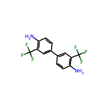 Nc1ccc(-c2ccc(N)c(C(F)(F)F)c2)cc1C(F)(F)F